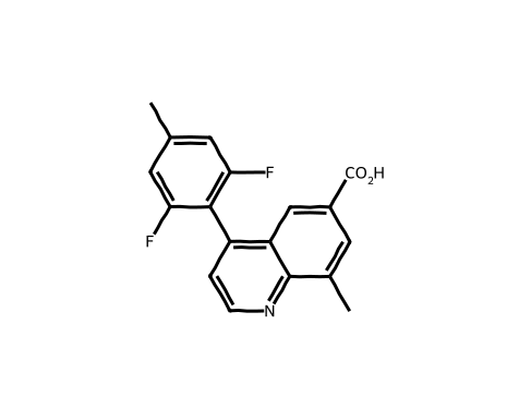 Cc1cc(F)c(-c2ccnc3c(C)cc(C(=O)O)cc23)c(F)c1